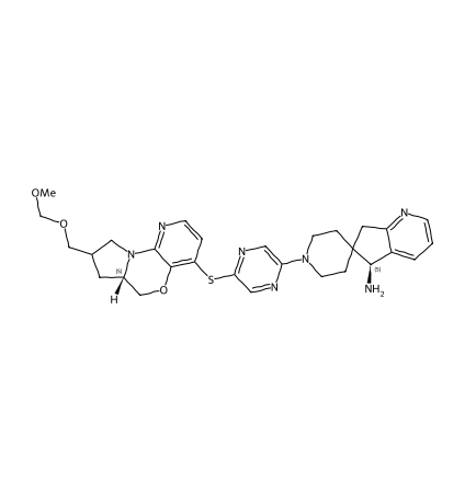 COCOCC1C[C@H]2COc3c(Sc4cnc(N5CCC6(CC5)Cc5ncccc5[C@H]6N)cn4)ccnc3N2C1